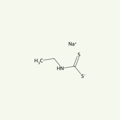 CCNC(=S)[S-].[Na+]